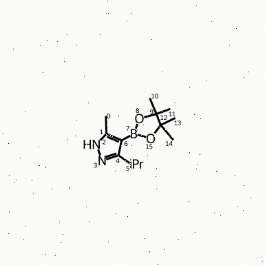 Cc1[nH]nc(C(C)C)c1B1OC(C)(C)C(C)(C)O1